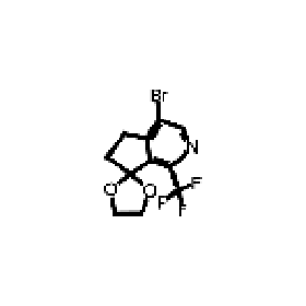 FC(F)(F)c1ncc(Br)c2c1C1(CC2)OCCO1